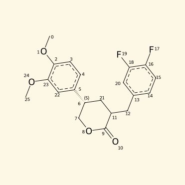 COc1ccc([C@H]2COC(=O)C(Cc3ccc(F)c(F)c3)C2)cc1OC